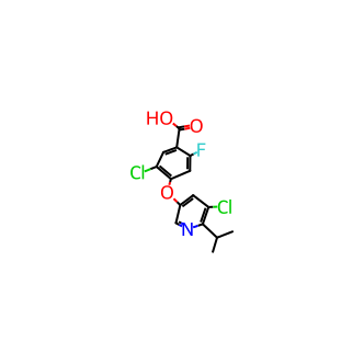 CC(C)c1ncc(Oc2cc(F)c(C(=O)O)cc2Cl)cc1Cl